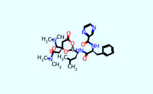 CC(C)C[C@H](NC(=O)[C@H](Cc1ccccc1)NC(=O)c1cnccn1)B1OC(=O)C[C@@](CC(=O)N(C)C)(C(=O)N(C)C)O1